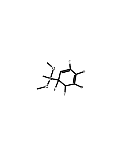 CO[Si](C)(OC)C1(F)C=C(F)C(F)=C(F)C1F